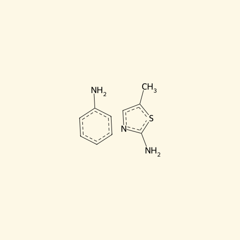 Cc1cnc(N)s1.Nc1ccccc1